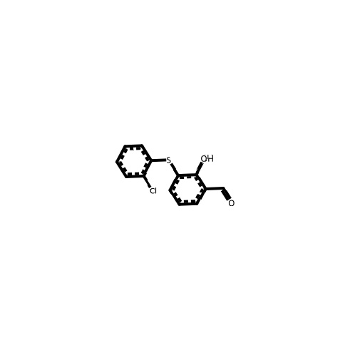 O=Cc1cccc(Sc2ccccc2Cl)c1O